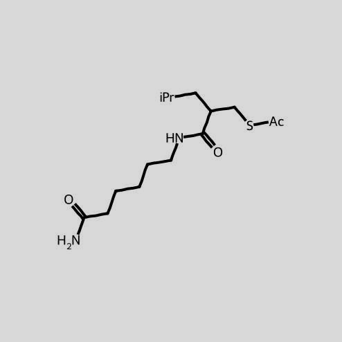 CC(=O)SCC(CC(C)C)C(=O)NCCCCCC(N)=O